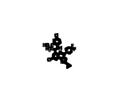 CC(Nc1ccc(Cl)nc1C(=O)O)c1cc(Cl)cc2c1nc(N1CCC(F)(F)CC1)n1cc(C3CC3)nc21